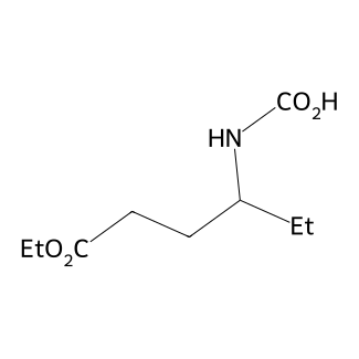 CCOC(=O)CCC(CC)NC(=O)O